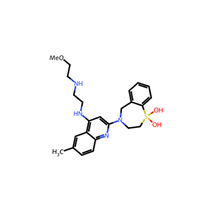 COCCNCCNc1cc(N2CCS(O)(O)c3ccccc3C2)nc2ccc(C)cc12